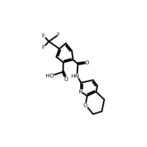 O=C(O)c1cc(C(F)(F)F)ccc1C(=O)Nc1ccc2c(n1)OCCC2